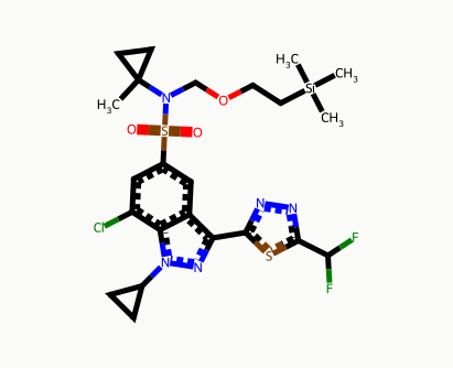 CC1(N(COCC[Si](C)(C)C)S(=O)(=O)c2cc(Cl)c3c(c2)c(-c2nnc(C(F)F)s2)nn3C2CC2)CC1